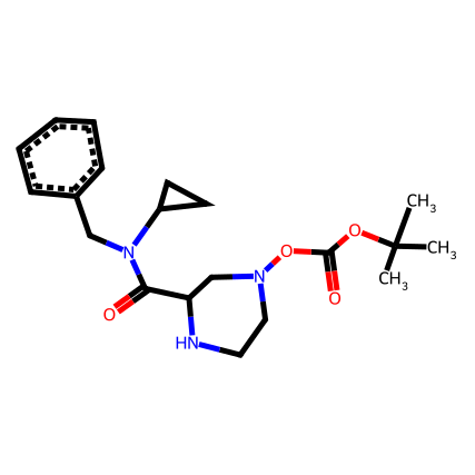 CC(C)(C)OC(=O)ON1CCNC(C(=O)N(Cc2ccccc2)C2CC2)C1